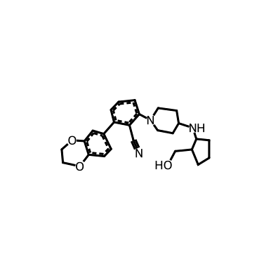 N#Cc1c(-c2ccc3c(c2)OCCO3)cccc1N1CCC(NC2CCCC2CO)CC1